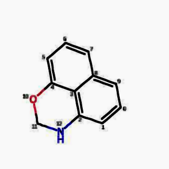 c1cc2c3c(cccc3c1)OCN2